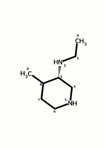 CCN[C@@H]1CNCCC1C